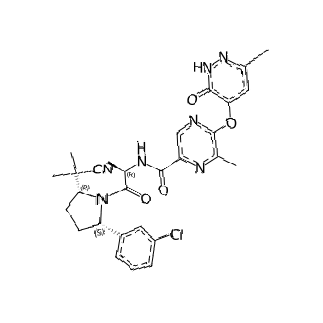 Cc1cc(Oc2ncc(C(=O)N[C@H](C)C(=O)N3[C@H](c4cccc(Cl)c4)CC[C@@H]3C(C)(C)C#N)nc2C)c(=O)[nH]n1